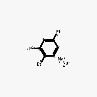 CCc1ccc(CC)c([P-2])c1.[Na+].[Na+]